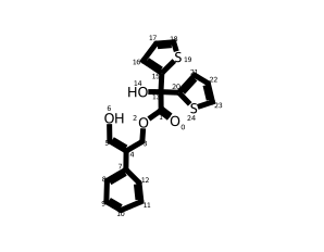 O=C(OCC(=CO)c1ccccc1)C(O)(c1cccs1)c1cccs1